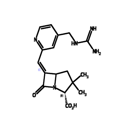 CC1(C)CC2/C(=C\c3cc(CNC(=N)N)ccn3)C(=O)N2[C@H]1C(=O)O